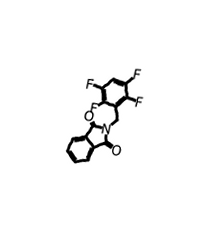 O=C1c2ccccc2C(=O)N1Cc1c(F)c(F)cc(F)c1F